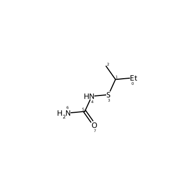 CCC(C)SNC(N)=O